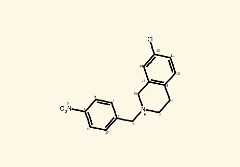 O=[N+]([O-])c1ccc(CN2CCc3ccc(Cl)cc3C2)cc1